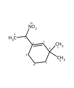 CC(C1=CC(C)(C)CCC1)[N+](=O)[O-]